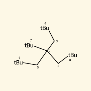 CC(C)(C)CC(CC(C)(C)C)(CC(C)(C)C)C(C)(C)C